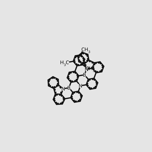 Cc1cc(C)c(-c2ccc3c4c2B2c5c(cccc5N4c4cccc5c4B3n3c4ccccc4c4cccc-5c43)-c3cccc4c5ccccc5n2c34)c(C)c1